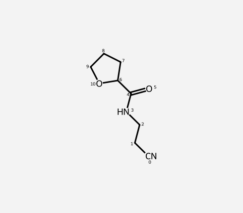 N#CCCNC(=O)C1CCCO1